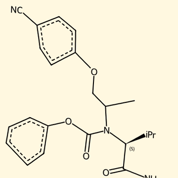 CC(C)[C@@H](C(N)=O)N(C(=O)Oc1ccccc1)C(C)COc1ccc(C#N)cc1